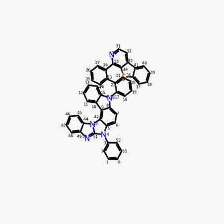 c1ccc(-n2c3ccc4c(c5ccccc5n4-c4ccccc4-c4ccccc4-c4nccc5c4sc4ccccc45)c3n3c4ccccc4nc23)cc1